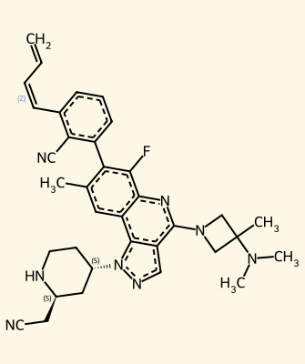 C=C/C=C\c1cccc(-c2c(C)cc3c(nc(N4CC(C)(N(C)C)C4)c4cnn([C@H]5CCN[C@H](CC#N)C5)c43)c2F)c1C#N